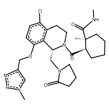 CNC(=O)[C@@]1(C)CCCC[C@H]1C(=O)N1CCc2c(Cl)ccc(OCc3cn(C)nn3)c2[C@H]1CN1CCCC1=O